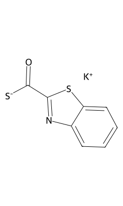 O=C([S-])c1nc2ccccc2s1.[K+]